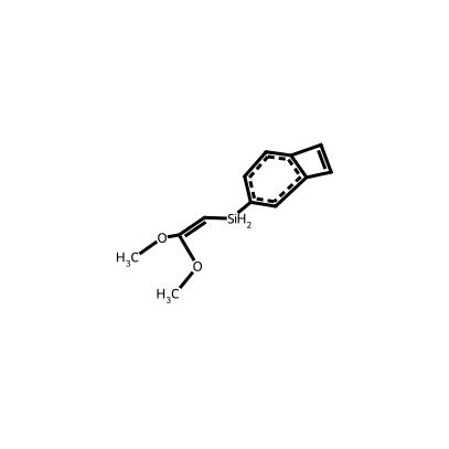 COC(=C[SiH2]c1ccc2c(c1)C=C2)OC